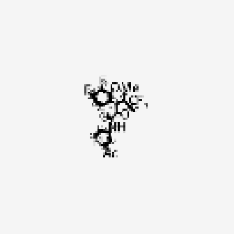 COc1c([C@H]2[C@@H](C)[C@](C)(C(F)(F)F)O[C@H]2C(=O)Nc2ccnc(C(C)=O)c2)ccc(F)c1F